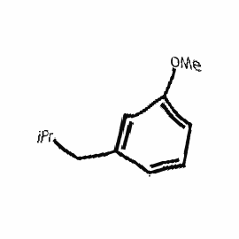 COc1cc[c]c(CC(C)C)c1